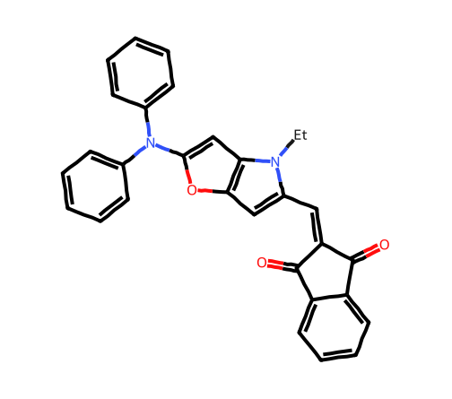 CCn1c(C=C2C(=O)c3ccccc3C2=O)cc2oc(N(c3ccccc3)c3ccccc3)cc21